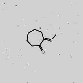 C/N=C1\CCCCCC1=O